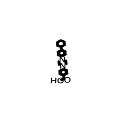 O=C(O)c1ccc(N2CCN(c3ccc(C4CCCCC4)cc3)CC2)cc1